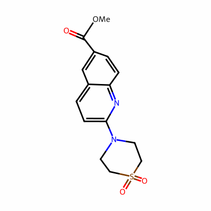 COC(=O)c1ccc2nc(N3CCS(=O)(=O)CC3)ccc2c1